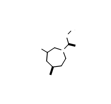 C=C1CCN(C(=O)OC(C)(C)C)CC(C(=O)O)C1